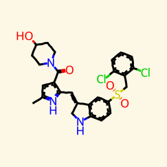 Cc1cc(C(=O)N2CCC(O)CC2)c(/C=C2\CNc3ccc(S(=O)(=O)Cc4c(Cl)cccc4Cl)cc32)[nH]1